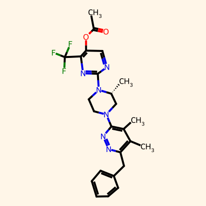 CC(=O)Oc1cnc(N2CCN(c3nnc(Cc4ccccc4)c(C)c3C)C[C@H]2C)nc1C(F)(F)F